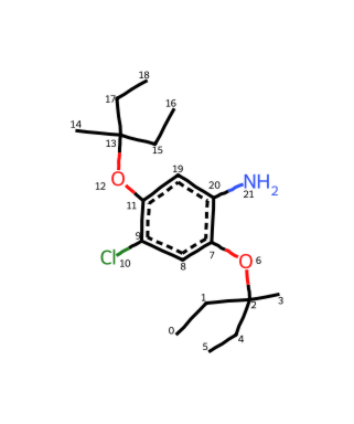 CCC(C)(CC)Oc1cc(Cl)c(OC(C)(CC)CC)cc1N